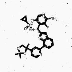 CC1(C)OCC(C)(c2ccnc(-c3cccc4cc([C@H](NS(=O)(=O)C5CC5)c5c(Cl)cnc(N)c5F)sc34)c2)O1